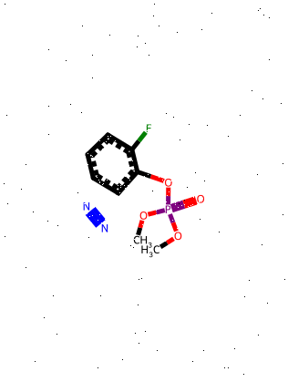 COP(=O)(OC)Oc1ccccc1F.N#N